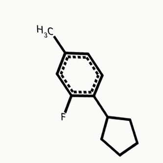 Cc1ccc(C2CCCC2)c(F)c1